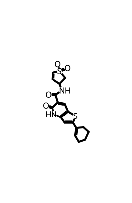 O=C(NC1C=CS(=O)(=O)C1)c1cc2sc(C3=CCCCC3)cc2[nH]c1=O